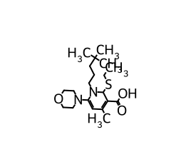 CCSC1C(C(=O)O)=C(C)C=C(N2CCOCC2)N1CCCC(C)(C)C